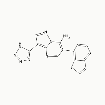 Nc1c(-c2cccc3ccsc23)cnc2c(-c3nnn[nH]3)cnn12